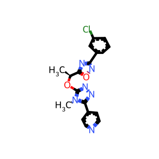 C[C@H](Oc1nnc(-c2ccncc2)n1C)c1nc(-c2cccc(Cl)c2)no1